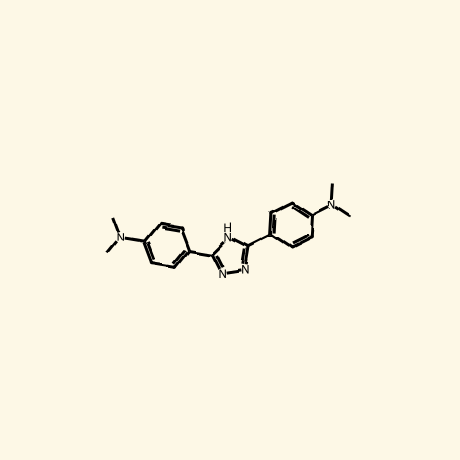 CN(C)c1ccc(-c2nnc(-c3ccc(N(C)C)cc3)[nH]2)cc1